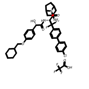 NC1CC2CCC(C1)N2C(=O)[C@@H](NC(=O)[C@@H](O)c1ccc(OCC2CCCCC2)cc1)C(F)(F)c1ccc(-c2ccc(Cl)cc2)cc1.O=C(O)C(F)(F)F